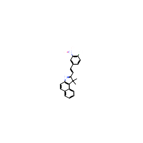 CC1(C)C(/C=C/c2ccc(Cl)c([N+](=O)[O-])c2)=Nc2ccc3ccccc3c21